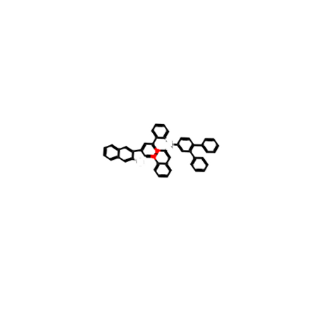 c1ccc(-c2ccc(N(c3ccc4ccccc4c3)c3ccccc3-c3ccc4oc5cc6ccccc6cc5c4c3)cc2-c2ccccc2)cc1